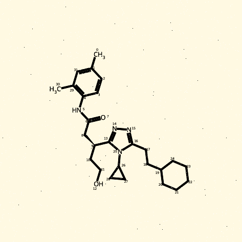 Cc1ccc(NC(=O)C[C@H](CCO)c2nnc(CCC3CCCCC3)n2C2CC2)c(C)c1